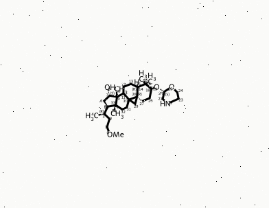 COCC[C@@H](C)[C@H]1C[C@H](O)C2(C)C3CC[C@H]4C(C)(C)[C@@H](O[C@H]5CNCCO5)CC[C@@]45CC35CC[C@]12C